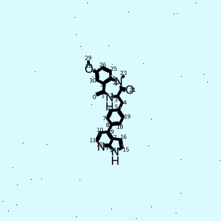 C=C1NC(Cc2ccc(-c3ccnc4[nH]ccc34)cc2)C(=O)N(C)c2ccc(OC)cc21